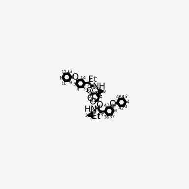 CCC(c1cccc(Oc2ccccc2)c1)C(NC1CC1)OC(=O)/C=C\C(=O)OC(NC1CC1)C(CC)c1cccc(Oc2ccccc2)c1